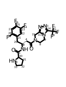 O=C(N[C@@H](CC(=O)N1CCn2c(nnc2C(F)(F)F)C1)Cc1cc(F)c(F)cc1F)C1CCCN1